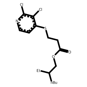 CCCCC(CC)COC(=O)CCSc1ccnc(Cl)c1Cl